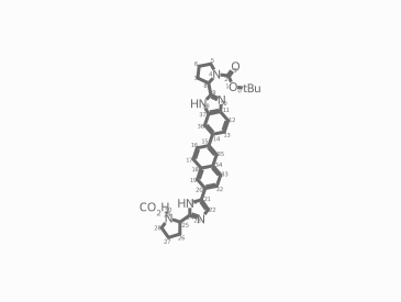 CC(C)(C)OC(=O)N1CCCC1c1nc2ccc(-c3ccc4cc(-c5cnc(C6CCCN6C(=O)O)[nH]5)ccc4c3)cc2[nH]1